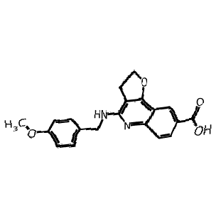 COc1ccc(CNc2nc3ccc(C(=O)O)cc3c3c2CCO3)cc1